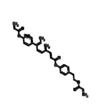 C=CC(=O)OCCc1ccc(OC(=O)/C=C/C(=C)/C=C\C(=CC)C(/C=C\C(C)OC(=O)C=C)=C/C)cc1